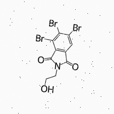 O=C1c2cc(Br)c(Br)c(Br)c2C(=O)N1CCO